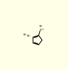 [Br-].[Br-].[Br-].[Zr+3][C]1=CC=CC1